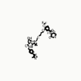 Cc1ncsc1-c1ccc(CNC(=O)[C@@H]2C[C@@H](O)CN2C(=O)[C@@H](NCCCCCCCOc2cc(C(=O)NC3C(=O)C=NCC3=O)ccc2OC(F)F)C(C)(C)C)cc1